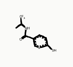 CC(NC(=O)c1ccc(S)nc1)C(F)(F)F